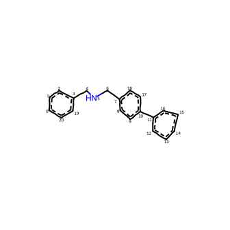 c1ccc(CNCc2ccc(-c3ccccc3)cc2)cc1